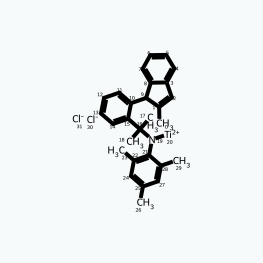 CC1=Cc2ccccc2C1c1ccccc1C(C)(C)[N]([Ti+2])c1c(C)cc(C)cc1C.[Cl-].[Cl-]